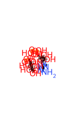 Nc1ncnc2c1ncn2[C@@H]1O[C@H](COP(=O)(O)OP(=O)(O)O)[C@@H](O)[C@H]1O.O=C(O)[C@@H](O)[C@@H](O)[C@H](O)[C@@H](O)C(=O)P(=O)(O)O